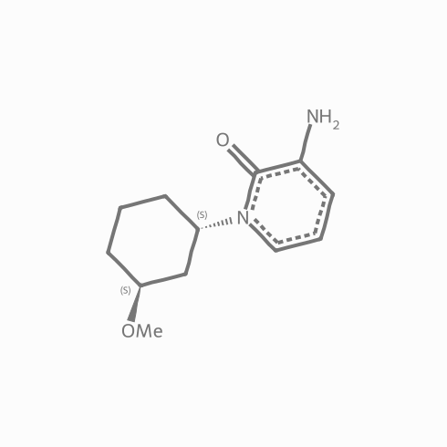 CO[C@H]1CCC[C@H](n2cccc(N)c2=O)C1